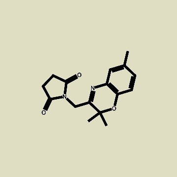 Cc1ccc2c(c1)N=C(CN1C(=O)CCC1=O)C(C)(C)O2